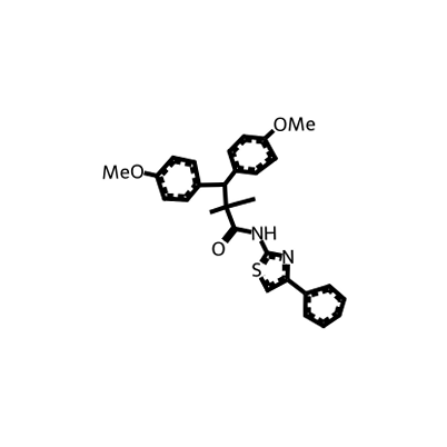 COc1ccc(C(c2ccc(OC)cc2)C(C)(C)C(=O)Nc2nc(-c3ccccc3)cs2)cc1